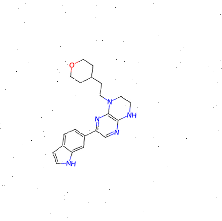 c1cc2ccc(-c3cnc4c(n3)N(CCC3CCOCC3)CCN4)cc2[nH]1